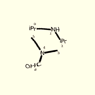 CC(C)NC(C)C.CN(C)C=O